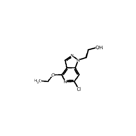 CCOc1nc(Cl)cc2c1cnn2CCO